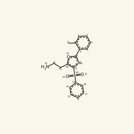 Cc1ccccc1-c1nc(S(=O)(=O)c2ccccc2)c(CCN)o1